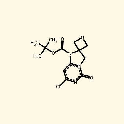 CC(C)(C)OC(=O)N1c2cc(Cl)nc(=O)n2CC12COC2